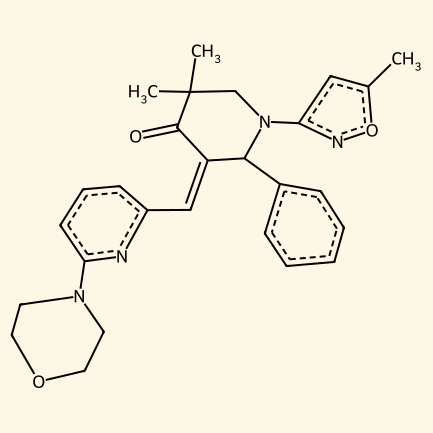 Cc1cc(N2CC(C)(C)C(=O)C(=Cc3cccc(N4CCOCC4)n3)C2c2ccccc2)no1